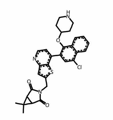 CC1(C)C2C(=O)N(Cc3cc4nccc(-c5cc(Cl)c6ccccc6c5OC5CCNCC5)c4s3)C(=O)C21